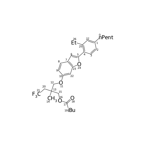 CCCCCc1ccc(-c2cc3ccc(OCC(C)(COC(=O)C(C)CC)CC(F)(F)F)cc3o2)c(CC)c1